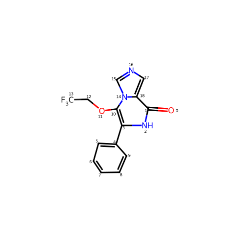 O=c1[nH]c(-c2ccccc2)c(OCC(F)(F)F)n2cncc12